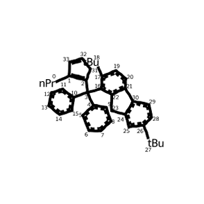 CCCC1=C(C(c2ccccc2)(c2ccccc2)c2c(C(C)(C)C)ccc3c2Cc2cc(C(C)(C)C)ccc2-3)CC=C1